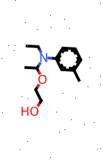 CCN(c1cccc(C)c1)C(C)OCCO